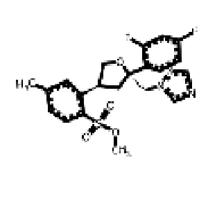 COS(=O)(=O)c1ccc(C)cc1[C@H]1CO[C@@](Cn2cncn2)(c2ccc(F)cc2F)C1